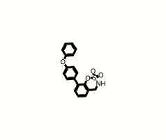 O=S1(=O)NCc2cccc(-c3ccc(Oc4ccccc4)cc3)c2O1